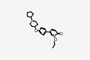 CCCOn1cc(-c2ccc(OC3CCN(C4CCCC4)CC3)cc2)ccc1=O